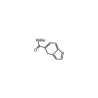 CNC(=O)C1=CC=C2N=CC=C2C1